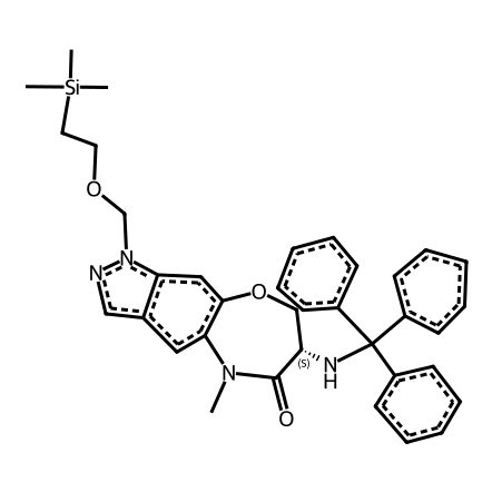 CN1C(=O)[C@@H](NC(c2ccccc2)(c2ccccc2)c2ccccc2)COc2cc3c(cnn3COCC[Si](C)(C)C)cc21